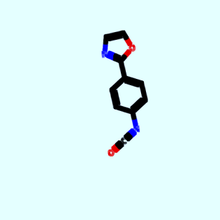 O=C=Nc1ccc(-c2ncco2)cc1